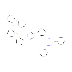 C1=Cc2c(c3ccccc3n2-c2cccc3c2sc2c(-c4ccc5c(c4)sc4c(C6NC(c7ccccc7)=NC(c7ccccc7)N6)cccc45)cccc23)CC1